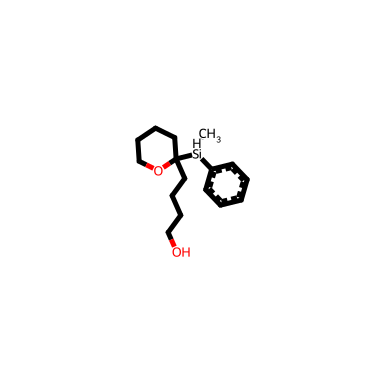 C[SiH](c1ccccc1)C1(CCCCO)CCCCO1